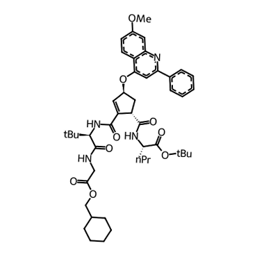 CCC[C@H](NC(=O)[C@H]1C[C@H](Oc2cc(-c3ccccc3)nc3cc(OC)ccc23)C=C1C(=O)N[C@@H](C(=O)NCC(=O)OCC1CCCCC1)C(C)(C)C)C(=O)OC(C)(C)C